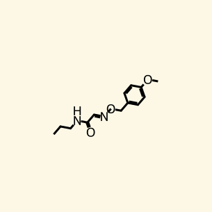 CCCNC(=O)/C=N/OCc1ccc(OC)cc1